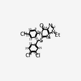 CCn1cnc2c(=O)n(-c3ccc(Cl)cc3)c(SCc3ccc(Cl)c(Cl)c3)nc21